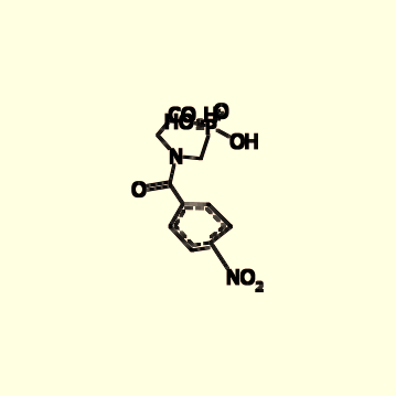 O=C(O)CN(CP(=O)(O)O)C(=O)c1ccc([N+](=O)[O-])cc1